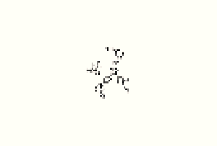 CO[C@H]1CCCN(c2ccc(-n3nc(NC[C@H]4CCC[C@H](N)C4)cc3-c3ccc(C#N)c(F)c3)cc2)C1.O=C(O)C(F)(F)F